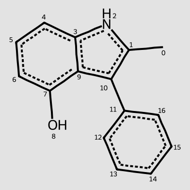 Cc1[nH]c2cccc(O)c2c1-c1ccccc1